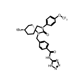 CC(C)(C)[C@H]1CC[C@]2(CC1)CN(c1ccc(OC(F)(F)F)cc1)C(=O)N2Cc1ccc(C(=O)Nc2nnn[nH]2)cc1